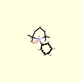 CC1(C)CCCC(C)(C)[N+]1([O-])c1ccccc1